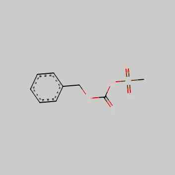 CS(=O)(=O)OC(=O)OCc1ccccc1